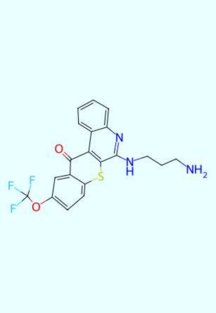 NCCCNc1nc2ccccc2c2c(=O)c3cc(OC(F)(F)F)ccc3sc12